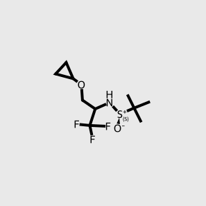 CC(C)(C)[S@@+]([O-])NC(COC1CC1)C(F)(F)F